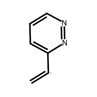 C=[C]c1cccnn1